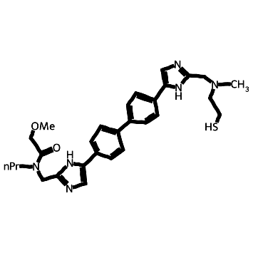 CCCN(Cc1ncc(-c2ccc(-c3ccc(-c4cnc(CN(C)CCS)[nH]4)cc3)cc2)[nH]1)C(=O)COC